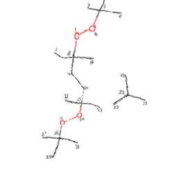 CC(C)(C)OOC(C)(C)CCC(C)(C)OOC(C)(C)C.C[C](C)C